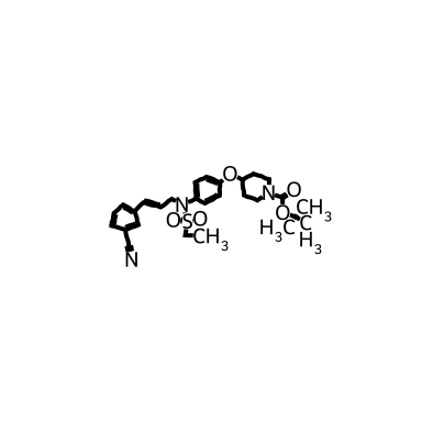 CCS(=O)(=O)N(CC=Cc1cccc(C#N)c1)c1ccc(OC2CCN(C(=O)OC(C)(C)C)CC2)cc1